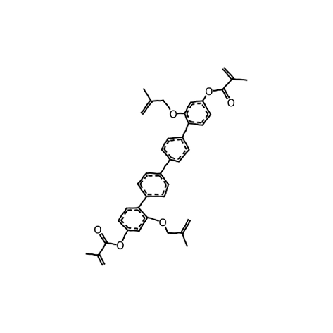 C=C(C)COc1cc(OC(=O)C(=C)C)ccc1-c1ccc(-c2ccc(-c3ccc(OC(=O)C(=C)C)cc3OCC(=C)C)cc2)cc1